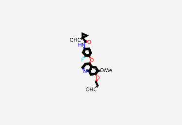 COc1cc2c(Oc3ccc(NC(=O)C4(C=O)CC4)cc3F)ccnc2cc1OCCC=O